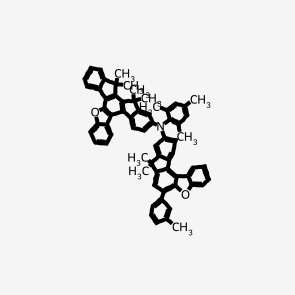 Cc1cccc(-c2cc3c(c4c2oc2ccccc24)-c2ccc(N(c4ccc5c(c4)C(C)(C)c4c6c(c7oc8ccccc8c7c4-5)-c4ccccc4C6(C)C)c4c(C)cc(C)cc4C)cc2C3(C)C)c1